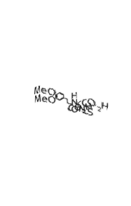 COc1ccc(CCC(NC(C)C(=O)N2CCSCC2C(=O)O)C(=O)O)cc1OC